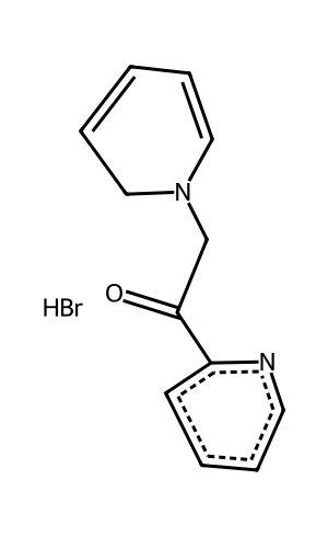 Br.O=C(CN1C=CC=CC1)c1ccccn1